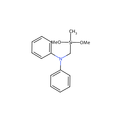 CO[Si](C)(CN(c1ccccc1)c1ccccc1)OC